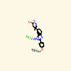 CCCCCCOc1ccc(-c2nc3ccc(C4(C)C=NNC(=O)C4)cc3[nH]2)cc1.Cl